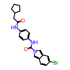 O=C(CC1CCCC1)Nc1ccc(NC(=O)n2cc3ccc(Br)cc3c2)cc1